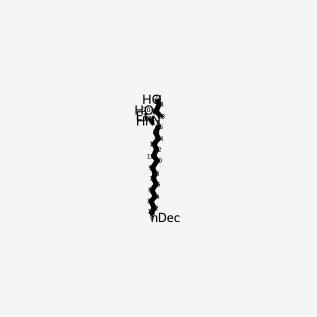 CCCCCCCCCCCCCCCCCCCCCCCCCCN(CC(O)CO)NCC